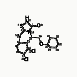 O=c1[nH]s/c(=N/c2ccc(Cl)c(Cl)c2)n1CCOc1ccccc1